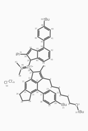 CC1=C(CCCCCCOC(C)(C)C)c2c(cc3c(c2-c2ccc(C(C)(C)C)cc2)CCC3)[CH]1[Zr+2]([CH]1C(C(C)C)=Cc2c(-c3ccc(C(C)(C)C)cc3)cccc21)=[Si](C)C.[Cl-].[Cl-]